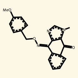 COc1ccc(CO/N=C2/c3ccccc3C(=O)c3c2ncn3C)cc1